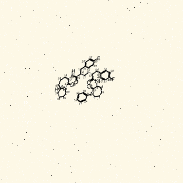 O=C(N[C@H]1CCCCN(c2ccccc2)C1=O)[C@H](CC[C@H](Cc1ccc(F)cc1)C(=O)N[C@H]1CCC[C@H]2CCCCN2C1=O)Cc1ccc(F)cc1